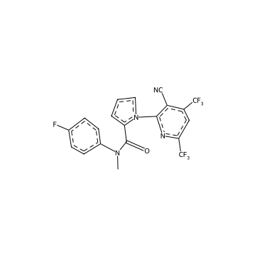 CN(C(=O)c1cccn1-c1nc(C(F)(F)F)cc(C(F)(F)F)c1C#N)c1ccc(F)cc1